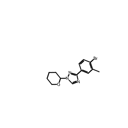 Cc1cc(-c2ncn(C3CCCCO3)n2)ccc1Br